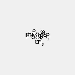 CCCCc1c2c(cc(C(=O)C3CCCCN3Cc3ccccc3)c1N1CCCCC1N)-c1ccccc1C2C(=O)NCC(F)(F)F